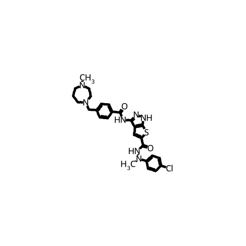 CN1CCCN(Cc2ccc(C(=O)Nc3n[nH]c4sc(C(=O)NN(C)c5ccc(Cl)cc5)cc34)cc2)CC1